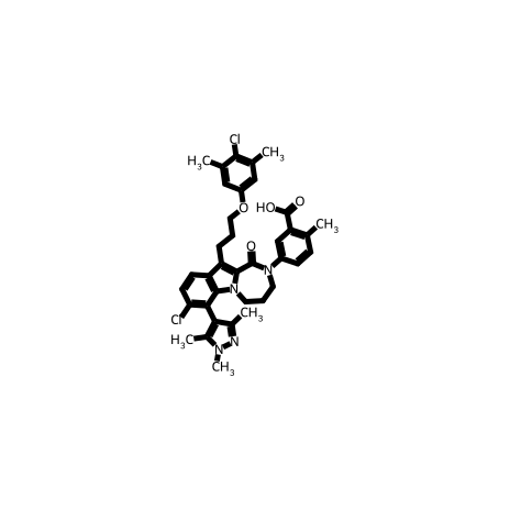 Cc1ccc(N2CCCn3c(c(CCCOc4cc(C)c(Cl)c(C)c4)c4ccc(Cl)c(-c5c(C)nn(C)c5C)c43)C2=O)cc1C(=O)O